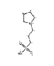 [NH]S(=O)(=O)CCCN1CCCC1